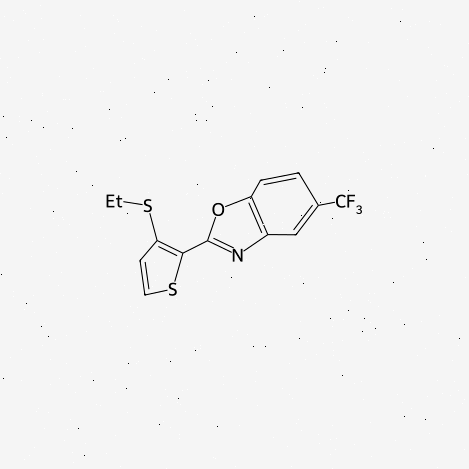 CCSc1ccsc1-c1nc2cc(C(F)(F)F)ccc2o1